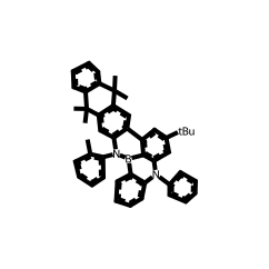 Cc1ccccc1N1B2c3ccccc3N(c3ccccc3)c3cc(C(C)(C)C)cc(c32)-c2cc3c(cc21)C(C)(C)c1ccccc1C3(C)C